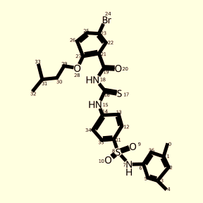 Cc1cc(C)cc(NS(=O)(=O)c2ccc(NC(=S)NC(=O)c3cc(Br)ccc3OCCC(C)C)cc2)c1